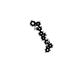 CC1(C)c2cc(-c3ccc(-c4cccc5c6c([pH]c45)C=CCCC6)nc3)ccc2-c2ccc(-c3cnc(-c4cccc5c6c(sc45)C=CCC6)nc3)cc21